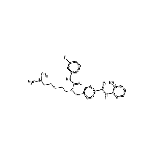 CN(C)CCCCCN(Cc1ccc(C(=O)Nc2ccccc2N)nc1)C(=O)Nc1cccc(F)c1